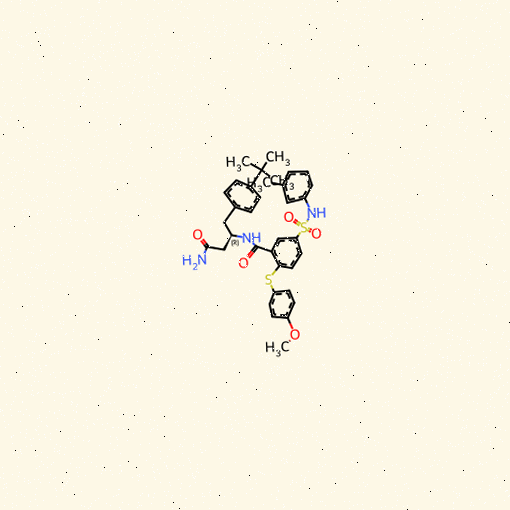 COc1ccc(Sc2ccc(S(=O)(=O)Nc3cccc(C)c3)cc2C(=O)N[C@@H](CC(N)=O)Cc2ccc(C(C)(C)C)cc2)cc1